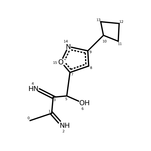 CC(=N)C(=N)C(O)c1cc(C2CCC2)no1